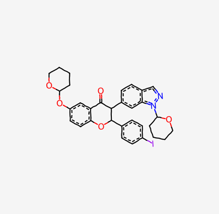 O=C1c2cc(OC3CCCCO3)ccc2OC(c2ccc(I)cc2)C1c1ccc2cnn(C3CCCCO3)c2c1